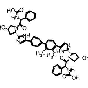 Cc1c(-c2ccc(-c3cnc([C@@H]4C[C@H](O)CN4C(=O)[C@H](NC(=O)O)c4ccccc4)[nH]3)cc2)ccc(-c2cnc([C@@H]3C[C@H](O)CN3C(=O)[C@H](NC(=O)O)c3ccccc3)[nH]2)c1C